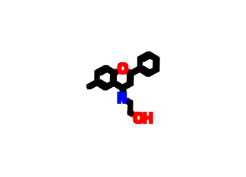 Cc1ccc2oc(-c3ccccc3)cc(=NCCO)c2c1